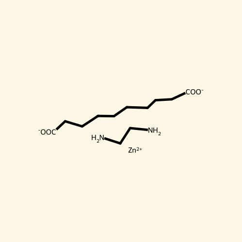 NCCN.O=C([O-])CCCCCCCCC(=O)[O-].[Zn+2]